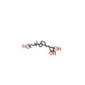 C=C1[C@H](O)CC(=C/C=C2\CCC[C@@]3(C)C2CCC3[C@H](C)C(C)(C)CCC(C)(C)O)C[C@H]1O